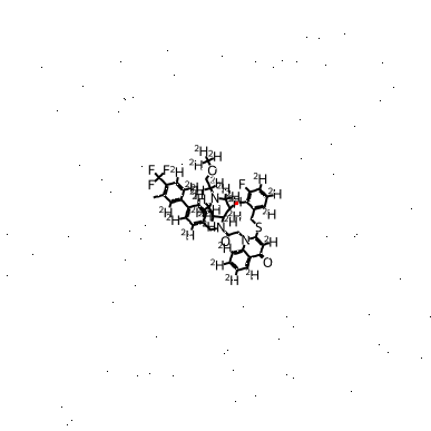 [2H]c1c([2H])c(F)c(F)c(CSc2c([2H])c(=O)c3c([2H])c([2H])c([2H])c([2H])c3n2CC(=O)N(Cc2c([2H])c([2H])c(-c3c([2H])c([2H])c(C(F)(F)F)c(C)c3[2H])c([2H])c2[2H])C2([2H])C([2H])([2H])C([2H])([2H])N(C([2H])([2H])COC([2H])([2H])[2H])C([2H])([2H])C2([2H])[2H])c1[2H]